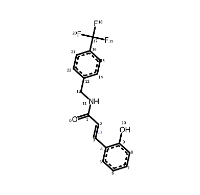 O=C(/C=C/c1ccccc1O)NCc1ccc(C(F)(F)F)cc1